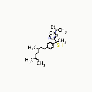 CC=C(C)CCC(C)CCc1ccc(C(C)(S)C(/C=C\C)=C/C=C(\C)CC)cc1